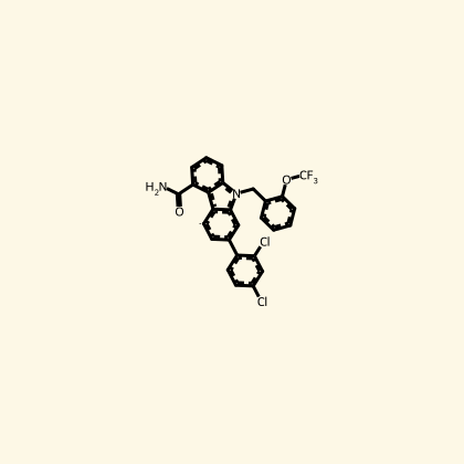 NC(=O)c1cccc2c1c1[c]cc(-c3ccc(Cl)cc3Cl)cc1n2Cc1ccccc1OC(F)(F)F